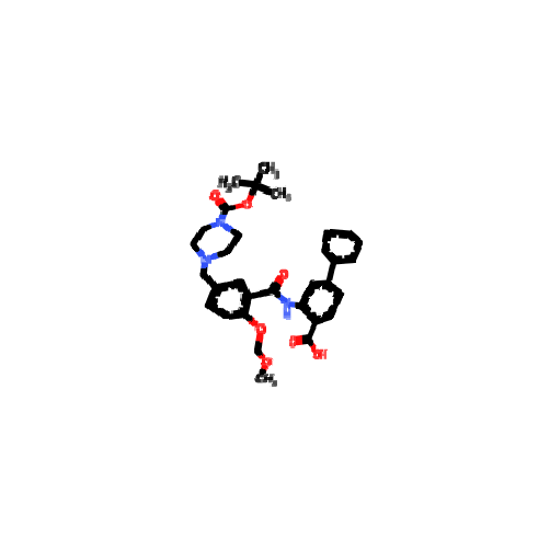 COCOc1ccc(CN2CCN(C(=O)OC(C)(C)C)CC2)cc1C(=O)Nc1cc(-c2ccccc2)ccc1C(=O)O